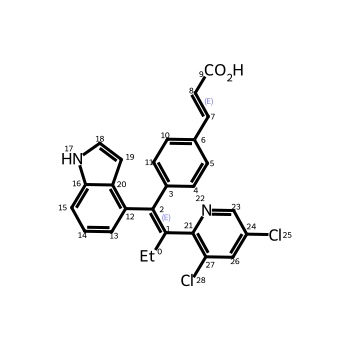 CC/C(=C(/c1ccc(/C=C/C(=O)O)cc1)c1cccc2[nH]ccc12)c1ncc(Cl)cc1Cl